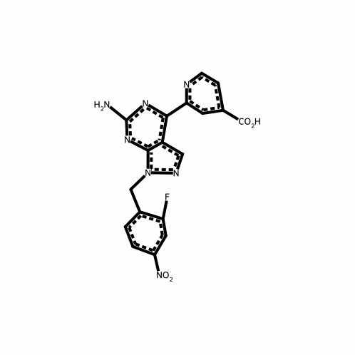 Nc1nc(-c2cc(C(=O)O)ccn2)c2cnn(Cc3ccc([N+](=O)[O-])cc3F)c2n1